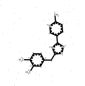 Cc1ccc(-c2noc(Cc3ccc(C)c(C)c3)n2)cn1